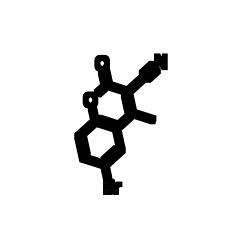 Cc1c(C#N)c(=O)oc2ccc(Br)cc12